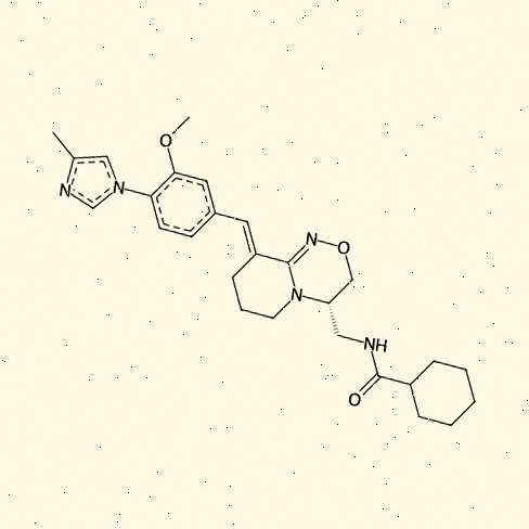 COc1cc(/C=C2\CCCN3C2=NOC[C@@H]3CNC(=O)C2CCCCC2)ccc1-n1cnc(C)c1